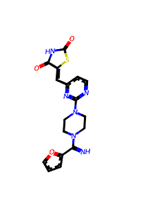 N=C(c1ccco1)N1CCN(c2nccc(/C=C3\SC(=O)NC3=O)n2)CC1